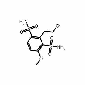 COc1ccc(S(N)(=O)=O)c(CC[O])c1S(N)(=O)=O